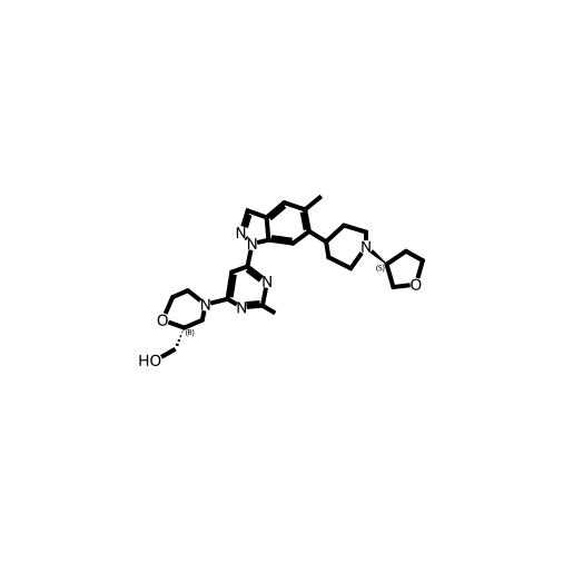 Cc1nc(N2CCO[C@@H](CO)C2)cc(-n2ncc3cc(C)c(C4CCN([C@H]5CCOC5)CC4)cc32)n1